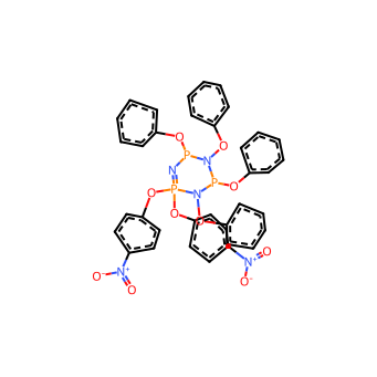 O=[N+]([O-])c1ccc(OP2(Oc3ccc([N+](=O)[O-])cc3)=NP(Oc3ccccc3)N(Oc3ccccc3)P(Oc3ccccc3)N2Oc2ccccc2)cc1